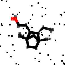 CC(=O)C[C@@H]1[C@@H]2CC[C@@H](C2)[C@@H]1CCO